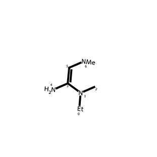 CCN(C)/C(N)=C\NC